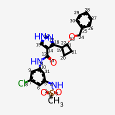 CS(=O)(=O)Nc1cc(Cl)cc(NC(=O)c2c[nH]nc2C2CC[C@H]2OCc2ccccc2)c1